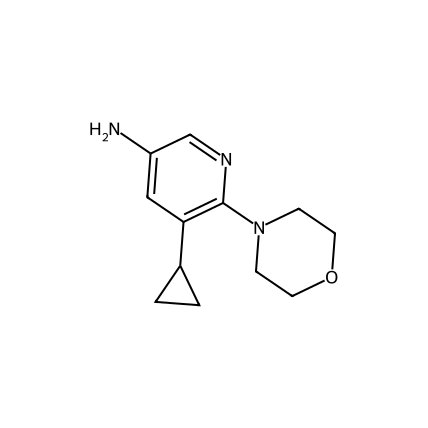 Nc1cnc(N2CCOCC2)c(C2CC2)c1